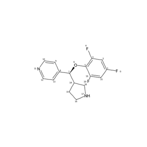 Fc1cc(F)c(O[C@H](c2ccncc2)C2CCNC2)c(F)c1